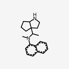 CC(N(C)c1cccc2ccccc12)C12CCCC1NCC2